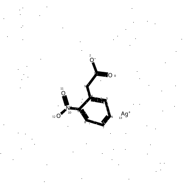 O=C([O-])Cc1ccccc1[N+](=O)[O-].[Ag+]